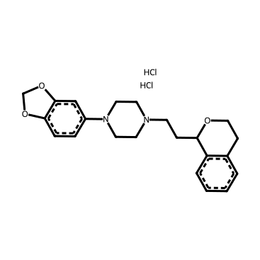 Cl.Cl.c1ccc2c(c1)CCOC2CCN1CCN(c2ccc3c(c2)OCO3)CC1